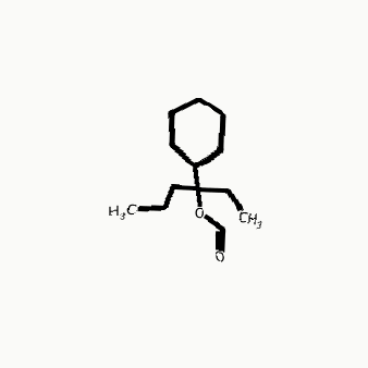 CCCC(CC)(OC=O)C1CCCCC1